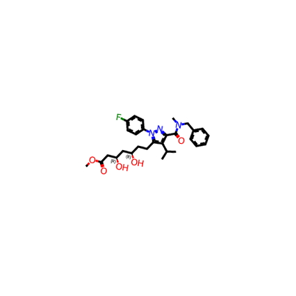 COC(=O)C[C@H](O)C[C@H](O)CCc1c(C(C)C)c(C(=O)N(C)Cc2ccccc2)nn1-c1ccc(F)cc1